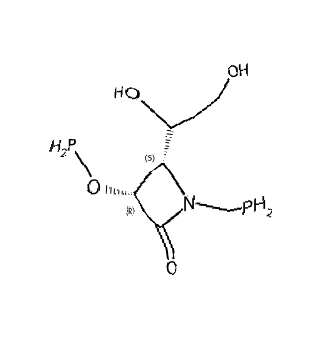 O=C1[C@H](OP)[C@H](C(O)CO)N1P